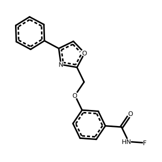 O=C(NF)c1cccc(OCc2nc(-c3ccccc3)co2)c1